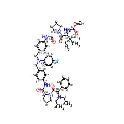 CCN(CC)[C@@H](C(=O)N1CCC[C@H]1C(=O)Nc1ccc(CN(Cc2ccc(NC(=O)[C@@H]3CCCN3C(=O)[C@@H](NC(=O)OC)C(C)(C)C)cc2)c2ccc(F)cc2)cc1)c1ccccc1